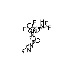 O=C(N1CC[C@@H](CN2C=CC(C3CC3)=NC2)C2(CCCC2)C1)N1CC[C@@H](NCC(F)F)C[C@H]1c1cc(F)ccc1F